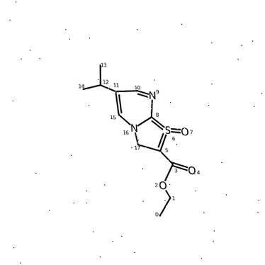 CCOC(=O)C1=S(=O)=C2N=CC(C(C)C)=CN2C1